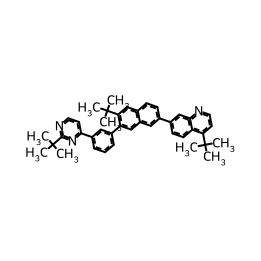 CC(C)(C)c1nccc(-c2cccc(-c3cc4cc(-c5ccc6c(C(C)(C)C)ccnc6c5)ccc4cc3C(C)(C)C)c2)n1